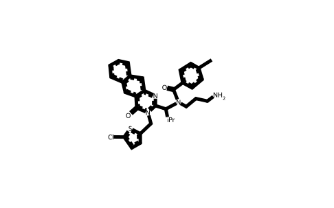 Cc1ccc(C(=O)N(CCCN)C(c2nc3cc4ccccc4cc3c(=O)n2Cc2ccc(Cl)s2)C(C)C)cc1